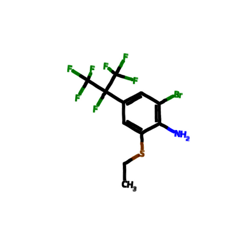 CCSc1cc(C(F)(C(F)(F)F)C(F)(F)F)cc(Br)c1N